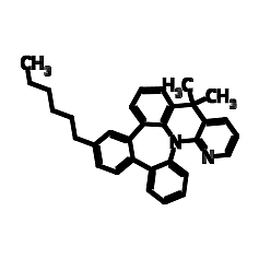 CCCCCCc1ccc2c(c1)-c1cccc3c1N(c1ccccc1-2)c1ncccc1C3(C)C